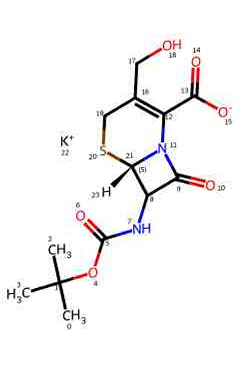 CC(C)(C)OC(=O)NC1C(=O)N2C(C(=O)[O-])=C(CO)CS[C@@H]12.[K+]